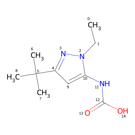 CCn1nc(C(C)(C)C)cc1NC(=O)O